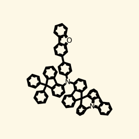 c1ccc(C2(c3ccccc3)c3ccccc3-c3c(N(c4ccc(-c5ccc6c(c5)oc5ccccc56)cc4)c4cccc5c4-c4ccccc4C54c5ccccc5-n5c6ccccc6c6cccc4c65)cccc32)cc1